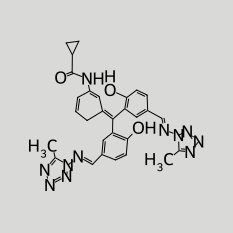 Cc1nnnn1N=Cc1ccc(O)c(C(=C2C=C(NC(=O)C3CC3)C=CC2)c2cc(C=Nn3nnnc3C)ccc2O)c1